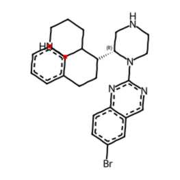 Brc1ccc2nc(N3CCNC[C@H]3C(CCc3ccccc3)C3CCCNC3)ncc2c1